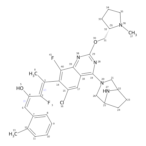 C/C(=C(F)\C(O)=C/c1ccccc1C)c1c(Cl)cc2c(N3CC4CCC(C3)N4)nc(OC[C@@H]3CCCN3C)nc2c1F